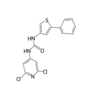 O=C(Nc1cc(Cl)nc(Cl)c1)Nc1csc(-c2ccccc2)c1